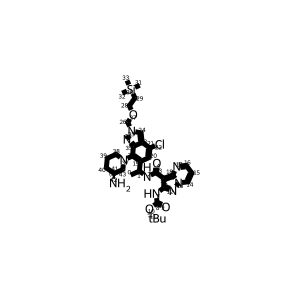 CC(NC(=O)c1c(NC(=O)OC(C)(C)C)nn2cccnc12)c1cc(Cl)c2cn(COCC[Si](C)(C)C)nc2c1N1CCC[C@H](N)C1